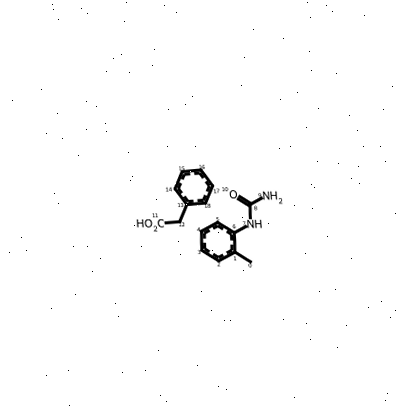 Cc1ccccc1NC(N)=O.O=C(O)Cc1ccccc1